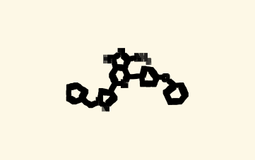 Nc1n[nH]c2cc(-c3cnn(Cc4ccccc4)c3)nc(-c3ccc(Oc4ccccc4)cc3)c12